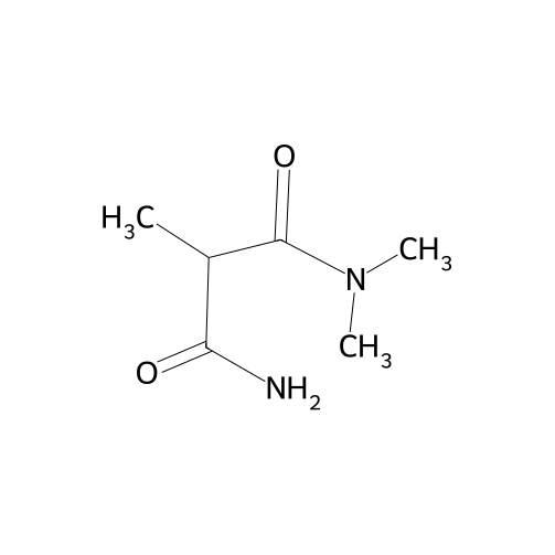 CC(C(N)=O)C(=O)N(C)C